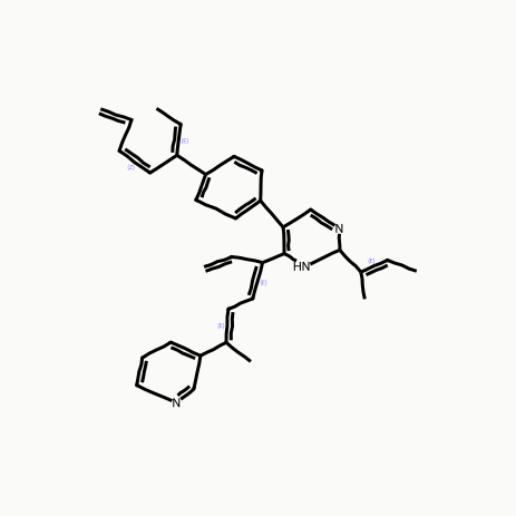 C=C/C=C\C(=C/C)c1ccc(C2=C(/C(C=C)=C/C=C(\C)c3cccnc3)NC(/C(C)=C/C)N=C2)cc1